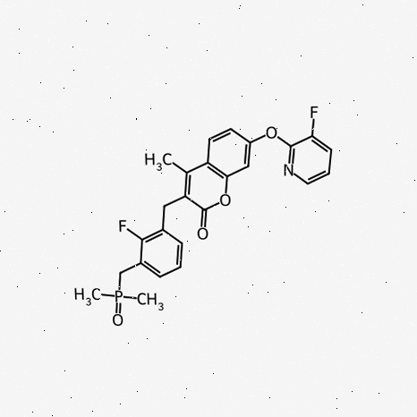 Cc1c(Cc2cccc(CP(C)(C)=O)c2F)c(=O)oc2cc(Oc3ncccc3F)ccc12